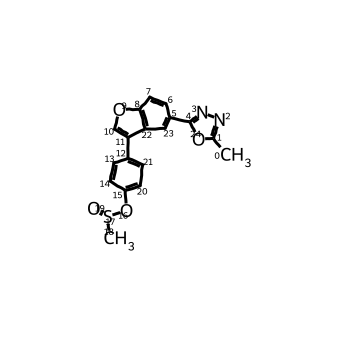 Cc1nnc(-c2ccc3occ(-c4ccc(OS(C)=O)cc4)c3c2)o1